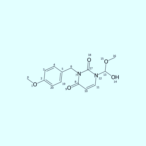 COc1ccc(Cn2c(=O)ccn(C(O)OC)c2=O)cc1